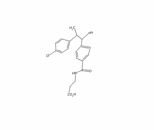 CCCC(c1ccc(C(=O)NCCC(=O)O)cc1)C(C)c1ccc(Cl)cc1